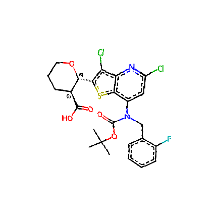 CC(C)(C)OC(=O)N(Cc1ccccc1F)c1cc(Cl)nc2c(Cl)c([C@H]3OCCC[C@@H]3C(=O)O)sc12